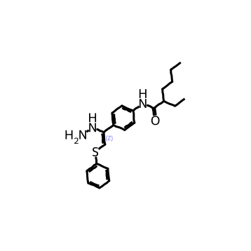 CCCCC(CC)C(=O)Nc1ccc(/C(=C/Sc2ccccc2)NN)cc1